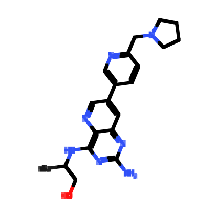 CCCCC(CO)Nc1nc(N)nc2cc(-c3ccc(CN4CCCC4)nc3)cnc12